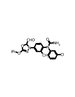 Cc1cc(N2N=C(OC(C)C)OC2C=O)ccc1N(C(N)=O)c1cccc(Cl)c1